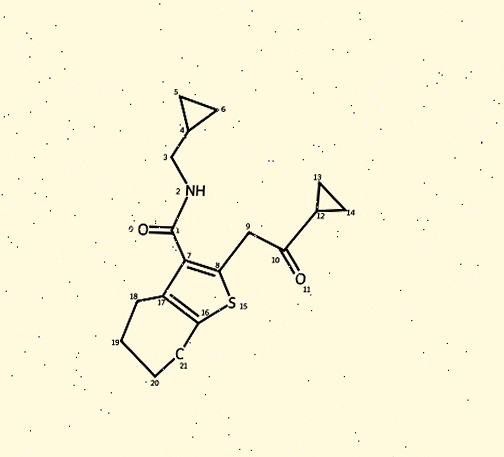 O=C(NCC1CC1)c1c(CC(=O)C2CC2)sc2c1CCCC2